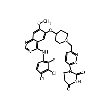 COc1cc2ncnc(Nc3ccc(Cl)c(Cl)c3F)c2cc1OC1CCN(Cc2ccc(N3CCC(=O)NC3=O)nn2)CC1